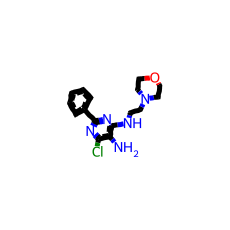 Nc1c(Cl)nc(-c2ccccc2)nc1NCCN1CCOCC1